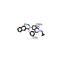 COC1C[C@H](N(CC(C)C)C(=O)c2ccc3ccccc3c2)C[C@]2(c3cccc(OC(C)=O)c3)CCN(CC3CC3)C[C@@H]12